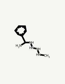 CNNNNC(N)c1ccccc1